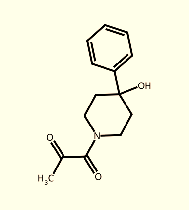 CC(=O)C(=O)N1CCC(O)(c2ccccc2)CC1